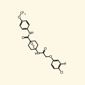 O=C(COc1ccc(Cl)c(F)c1)NC12CCC(C(=O)Nc3ccc(OC(F)(F)F)cc3)(CC1)OC2